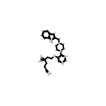 C#CCCC1(CCOc2cncnc2N2CCN(Cc3cc4ccccc4[nH]3)CC2)N=N1